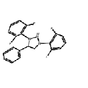 Fc1cccc(F)c1N1CC(c2ccccc2)N(c2c(F)cccc2F)N1